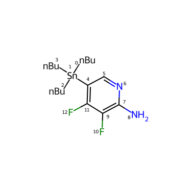 CCC[CH2][Sn]([CH2]CCC)([CH2]CCC)[c]1cnc(N)c(F)c1F